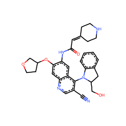 N#Cc1cnc2cc(OC3CCOC3)c(NC(=O)C=C3CCNCC3)cc2c1N1c2ccccc2CC1CO